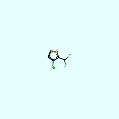 FC(F)c1sccc1Br